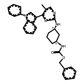 Cc1cnc(N[C@@H]2CCC[C@H](NC(=O)OCc3ccccc3)C2)nc1-c1cn(-c2ccccc2)c2ccccc12